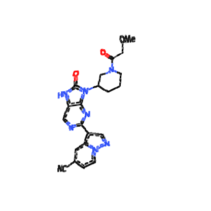 COCC(=O)N1CCCC(n2c(=O)[nH]c3cnc(-c4cnn5ccc(C#N)cc45)nc32)C1